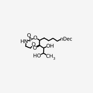 CCCCCCCCCCCCCCC(OP1(=O)NCCO1)C(=O)C(O)C(C)O